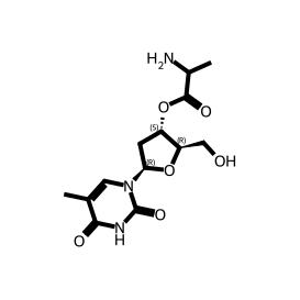 Cc1cn([C@H]2C[C@H](OC(=O)C(C)N)[C@@H](CO)O2)c(=O)[nH]c1=O